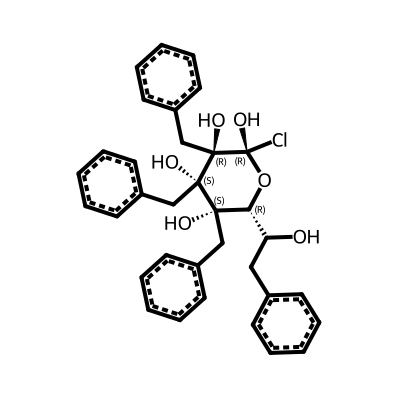 OC(Cc1ccccc1)[C@H]1O[C@@](O)(Cl)[C@@](O)(Cc2ccccc2)[C@](O)(Cc2ccccc2)[C@]1(O)Cc1ccccc1